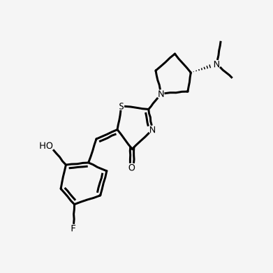 CN(C)[C@H]1CCN(C2=NC(=O)C(=Cc3ccc(F)cc3O)S2)C1